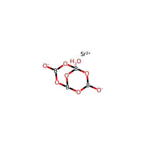 O.[O-]B1OB2OB([O-])OB(O1)O2.[Sr+2]